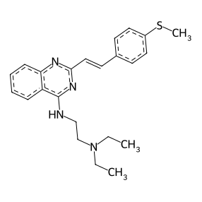 CCN(CC)CCNc1nc(C=Cc2ccc(SC)cc2)nc2ccccc12